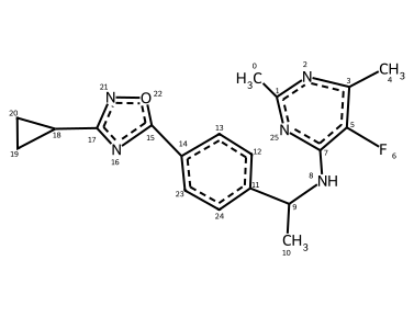 Cc1nc(C)c(F)c(NC(C)c2ccc(-c3nc(C4CC4)no3)cc2)n1